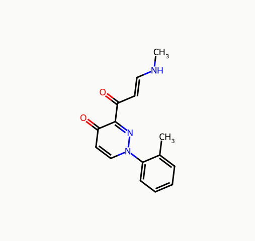 CN/C=C/C(=O)c1nn(-c2ccccc2C)ccc1=O